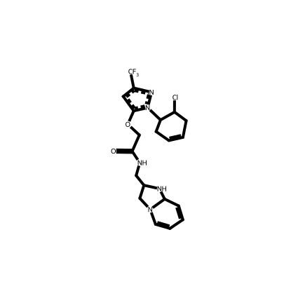 O=C(COc1cc(C(F)(F)F)nn1C1CC=CCC1Cl)NCC1CN2C=CC=CC2N1